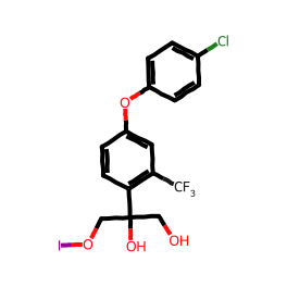 OCC(O)(COI)c1ccc(Oc2ccc(Cl)cc2)cc1C(F)(F)F